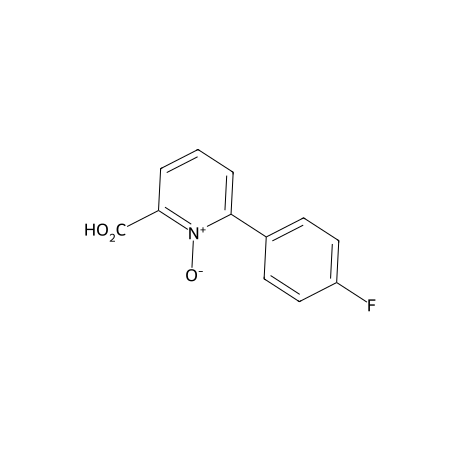 O=C(O)c1cccc(-c2ccc(F)cc2)[n+]1[O-]